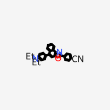 CCN(CC)c1ccc(-c2cc3oc(-c4ccc(C#N)cc4)nc3c3ccccc23)cc1